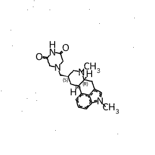 CN1C[C@H](CN2CC(=O)NC(=O)C2)C[C@@H]2c3cccc4c3c(cn4C)C[C@H]21